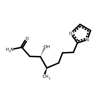 C[C@H](CCCc1ncco1)[C@@H](O)CC(N)=O